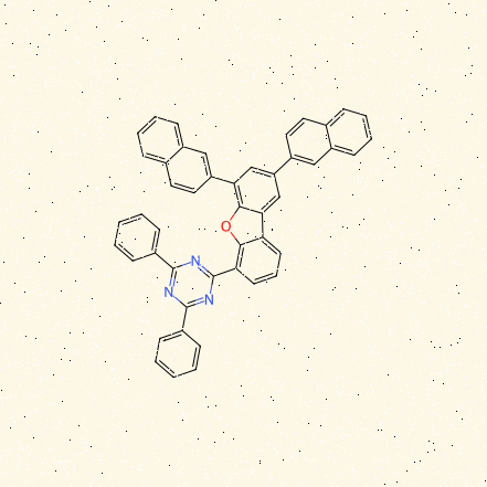 c1ccc(-c2nc(-c3ccccc3)nc(-c3cccc4c3oc3c(-c5ccc6ccccc6c5)cc(-c5ccc6ccccc6c5)cc34)n2)cc1